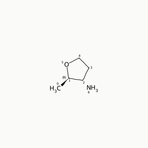 C[C@@H]1CCCO1.N